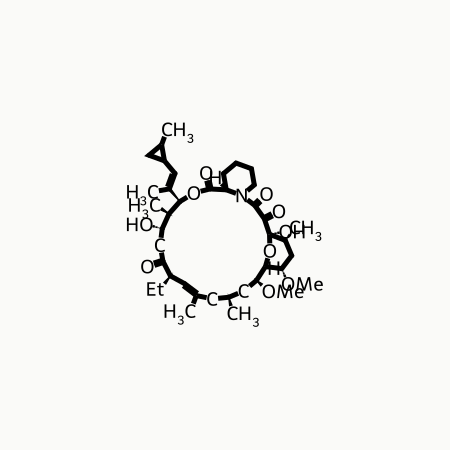 CC[C@@H]1/C=C(\C)C[C@H](C)C[C@H](OC)[C@H]2O[C@@](O)(C(=O)C(=O)N3CCCC[C@H]3C(=O)O[C@H](/C(C)=C/C3CC3C)[C@H](C)[C@@H](O)CC1=O)[C@H](C)C[C@@H]2OC